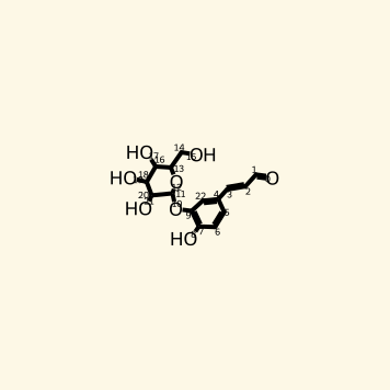 O=CC=Cc1ccc(O)c(OC2OC(CO)C(O)C(O)C2O)c1